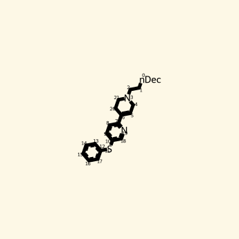 CCCCCCCCCCCCN1CC=C(c2ccc(Sc3ccccc3)cn2)CC1